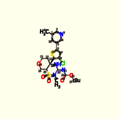 Cc1cncc(-c2cc(Cl)c([C@]34CCOCC3S(=O)(=O)N(C)/C(=N\C(=O)OC(C)(C)C)N4)s2)c1